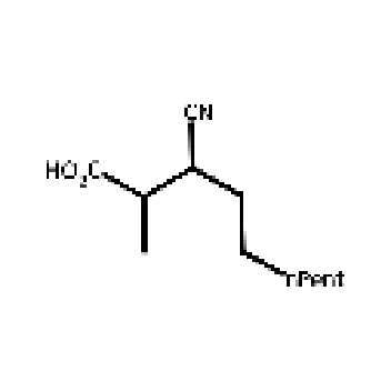 CCCCCCCC(C#N)C(C)C(=O)O